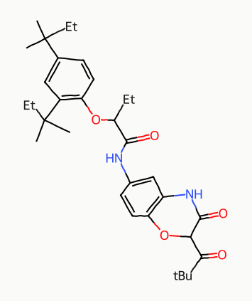 CCC(Oc1ccc(C(C)(C)CC)cc1C(C)(C)CC)C(=O)Nc1ccc2c(c1)NC(=O)C(C(=O)C(C)(C)C)O2